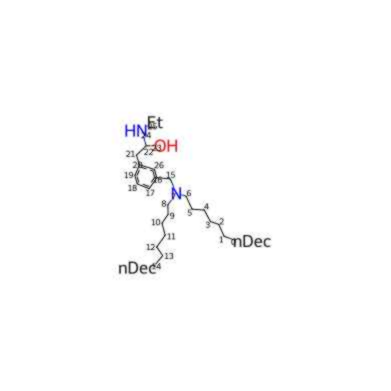 CCCCCCCCCCCCCCCCN(CCCCCCCCCCCCCCCC)Cc1cccc(CC(O)NCC)c1